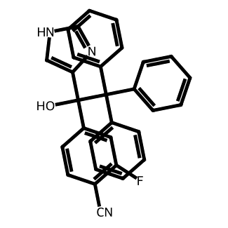 N#Cc1ccc(C(O)(c2c[nH]cn2)C(c2ccccc2)(c2ccccc2)c2ccccc2)cc1F